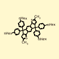 CCCCCCc1ccc(C2(c3ccc(CCCCCC)cc3)c3cc4c(cc3-c3sc(C)cc32)C(c2ccc(CCCCCC)cc2)(c2ccc(CCCCCC)cc2)c2cc(C)sc2-4)cc1